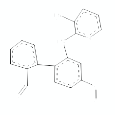 COc1ccc(-c2ccccc2C=O)c(Nc2ncccc2N)c1